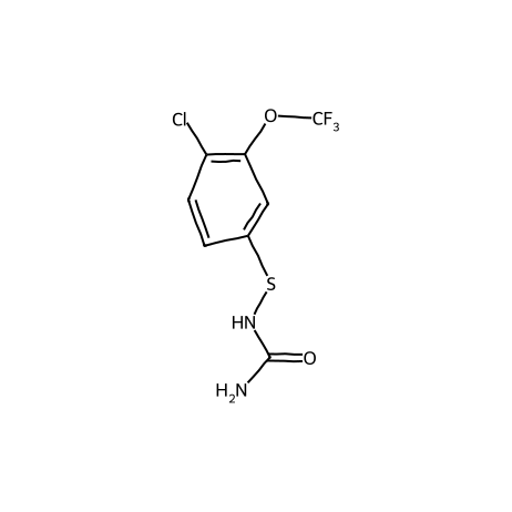 NC(=O)NSc1ccc(Cl)c(OC(F)(F)F)c1